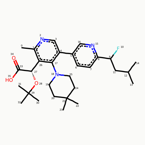 Cc1ncc(-c2ccc(C(F)CC(C)C)nc2)c(N2CCC(C)(C)CC2)c1[C@H](OC(C)(C)C)C(=O)O